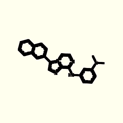 CN(C)c1cccc(Nc2nccn3c(-c4ccc5ccccc5c4)cnc23)c1